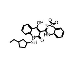 CCC1CCC(Nn2c(=O)c(C3=NS(=O)(=O)c4ccccc4N3)c(O)c3ccccc32)C1